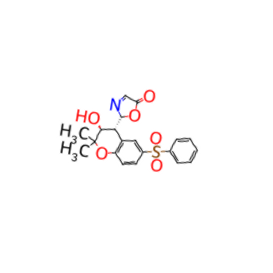 CC1(C)Oc2ccc(S(=O)(=O)c3ccccc3)cc2[C@@H](C2N=CC(=O)O2)[C@@H]1O